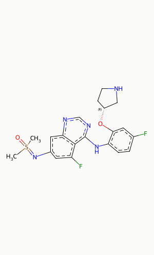 CS(C)(=O)=Nc1cc(F)c2c(Nc3ccc(F)cc3O[C@@H]3CCNC3)ncnc2c1